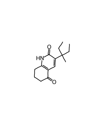 CCC(C)(CC)c1cc2c([nH]c1=O)CCCC2=O